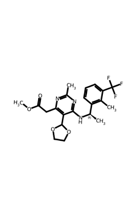 COC(=O)Cc1nc(C)nc(N[C@H](C)c2cccc(C(F)(F)F)c2C)c1C1OCCO1